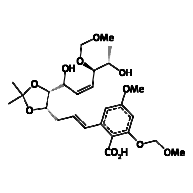 COCOc1cc(OC)cc(/C=C/C[C@@H]2OC(C)(C)O[C@@H]2C(O)/C=C\[C@@H](OCOC)[C@H](C)O)c1C(=O)O